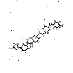 Cc1nc(-c2cccc(C(=O)NC3CCC(CCN4CCC(Oc5ccc(F)cc5)CC4)CC3)c2)no1